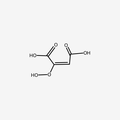 O=C(O)/C=C(/OO)C(=O)O